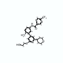 Cc1ccc(NC(=O)c2cnc(C(F)(F)F)cn2)cc1-c1cc(OCCO)nc(C2CCOCC2)c1